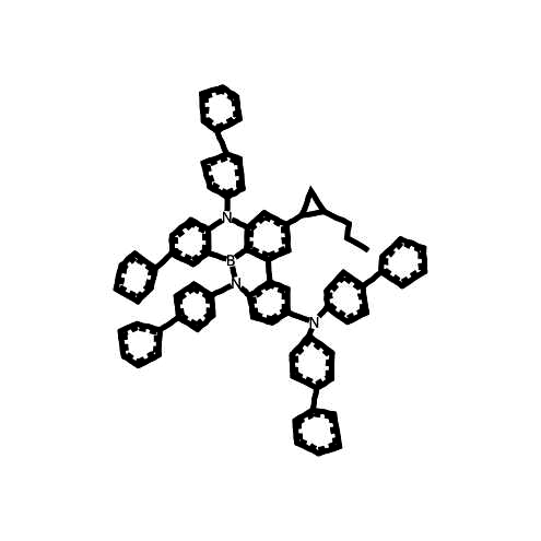 CCCC1CC1c1cc2c3c(c1)N(c1ccc(-c4ccccc4)cc1)c1ccc(-c4ccccc4)cc1B3N(c1ccc(-c3ccccc3)cc1)c1ccc(N(c3ccc(-c4ccccc4)cc3)c3ccc(-c4ccccc4)cc3)cc1-2